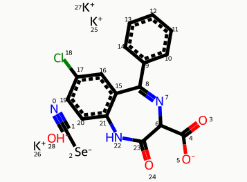 N#C[Se-].O=C([O-])C1N=C(c2ccccc2)c2cc(Cl)ccc2NC1=O.[K+].[K+].[K+].[OH-]